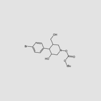 CC(C)(C)OC(=O)ON1CC(O)C(c2ccc(Br)cc2)C(CO)C1